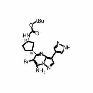 CC(C)(C)OC(=O)N[C@H]1CC[C@@H](c2nc3c(-c4cn[nH]c4)cnn3c(N)c2Br)C1